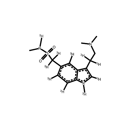 [2H]c1c(C([2H])([2H])S(=O)(=O)N([2H])C)c([2H])c2c(C([2H])([2H])CN(C)C)c([2H])n([2H])c2c1[2H]